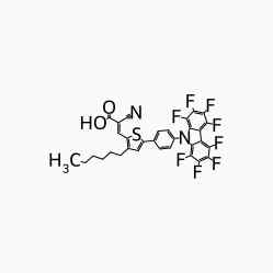 CCCCCCc1cc(-c2ccc(-n3c4c(F)c(F)c(F)c(F)c4c4c(F)c(F)c(F)c(F)c43)cc2)sc1/C=C(\C#N)C(=O)O